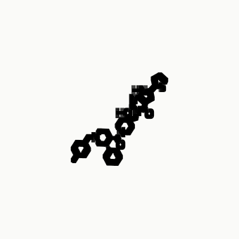 Cc1ccc(CN2CC[C@@H](C(=O)N3CCC(O)(Cn4cnc5[nH]c(-c6cccs6)cc5c4=O)CC3)[C@H](c3ccccc3)C2)cc1